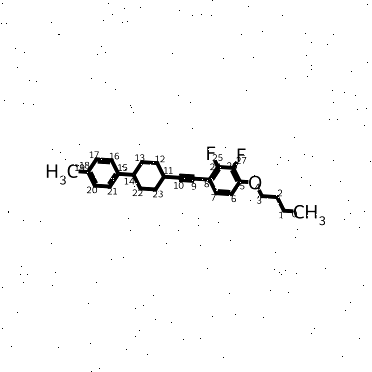 CCCCOc1ccc(C#CC2CCC(c3ccc(C)cc3)CC2)c(F)c1F